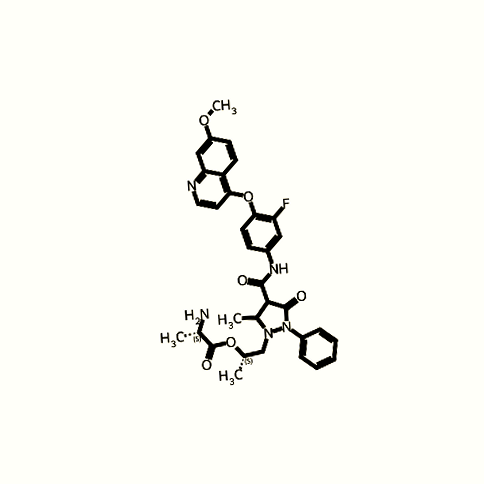 COc1ccc2c(Oc3ccc(NC(=O)C4C(=O)N(c5ccccc5)N(C[C@H](C)OC(=O)[C@H](C)N)C4C)cc3F)ccnc2c1